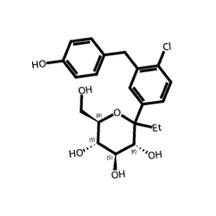 CCC1(c2ccc(Cl)c(Cc3ccc(O)cc3)c2)O[C@H](CO)[C@@H](O)[C@H](O)[C@H]1O